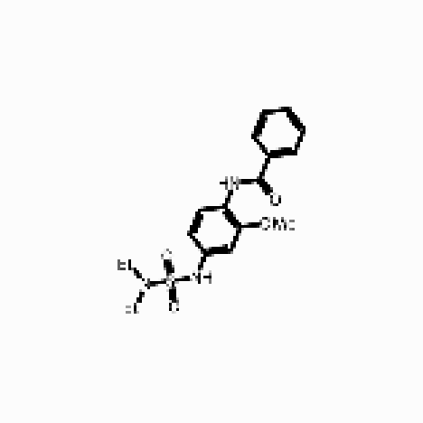 CCN(CC)S(=O)(=O)Nc1ccc(NC(=O)c2ccccc2)c(OC)c1